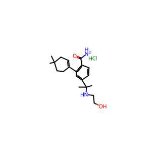 CC1(C)CC=C(c2cc(C(C)(C)NCCO)ccc2C(N)=O)CC1.Cl